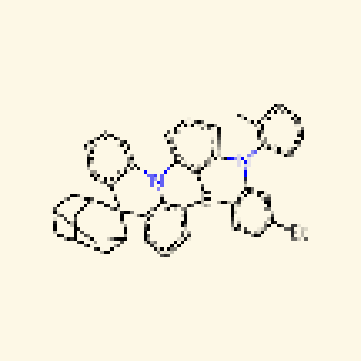 CCc1ccc2c(c1)N(c1ccccc1C)c1cccc3c1B2c1cccc2c1N3c1ccccc1C21C2CC3CC(C2)CC1C3